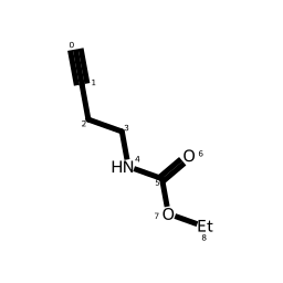 C#CCCNC(=O)OCC